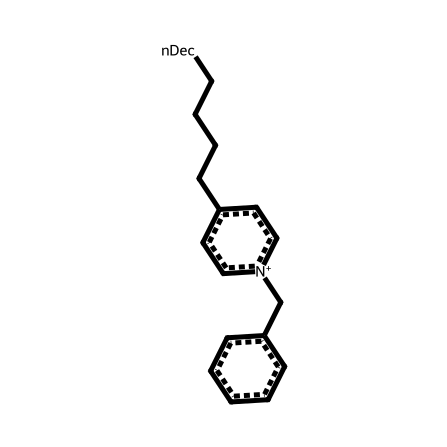 CCCCCCCCCCCCCCc1cc[n+](Cc2ccccc2)cc1